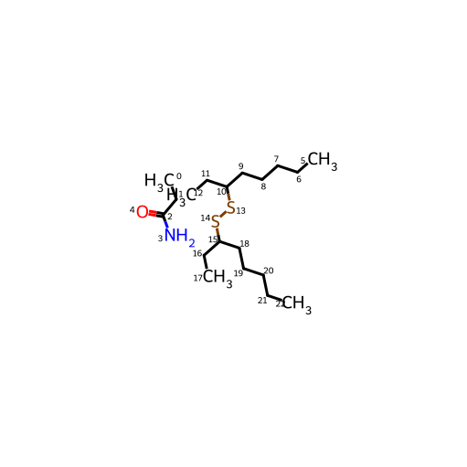 CCC(N)=O.CCCCCC(CC)SSC(CC)CCCCC